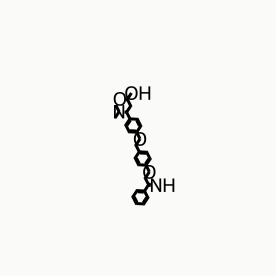 CN(C)C(CC(=O)O)c1ccc(OCc2ccc(OCC(=N)c3ccccc3)cc2)cc1